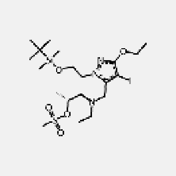 CCOc1nn(CCO[Si](C)(C)C(C)(C)C)c(CN(CC)C[C@@H](C)OS(C)(=O)=O)c1I